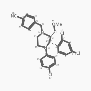 COC[C@@H]1[C@H](c2ccc(Cl)cc2Cl)N(c2ccc(Cl)cc2)CCN1Cc1ccc(C#N)cc1